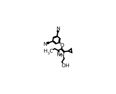 CCc1nn(CCO)c(C2CC2)c1Oc1cc(C#N)cc(C#N)c1